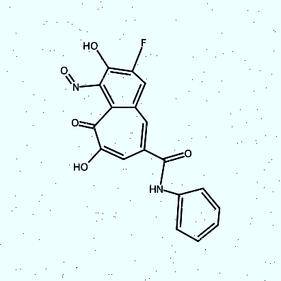 O=Nc1c(O)c(F)cc2cc(C(=O)Nc3ccccc3)cc(O)c(=O)c12